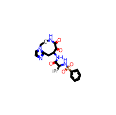 CC(C)C(NS(=O)(=O)c1ccccc1)C(=O)NC1Cc2nccn2CCNC(=O)C1=O